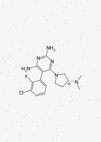 CN(C)[C@@H]1CCN(c2nc(N)nc(N)c2-c2cccc(Cl)c2F)C1